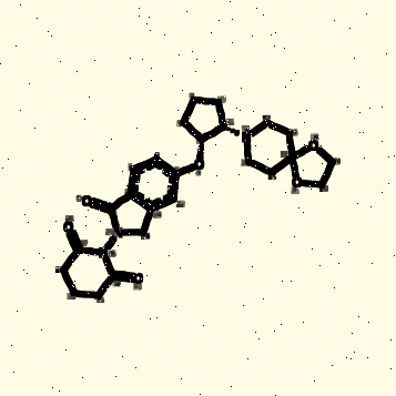 O=C1c2ccc(O[C@H]3CCC[C@@H]3N3CCC4(CC3)OCCO4)cc2CN1N1C(=O)CCCC1=O